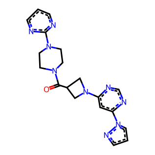 O=C(C1CN(c2cc(-n3cccn3)ncn2)C1)N1CCN(c2ncccn2)CC1